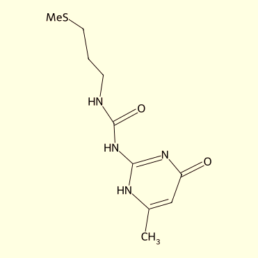 CSCCCNC(=O)Nc1nc(=O)cc(C)[nH]1